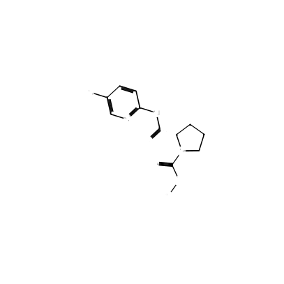 CC(C)(C)OC(=O)N1CCC[C@H]1C(=O)Nc1ccc(N)cn1